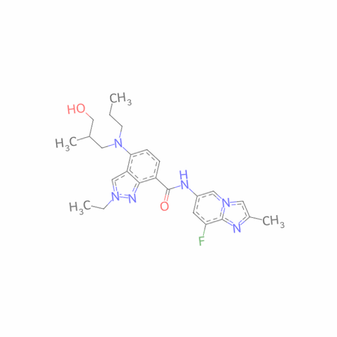 CCCN(CC(C)CO)c1ccc(C(=O)Nc2cc(F)c3nc(C)cn3c2)c2nn(CC)cc12